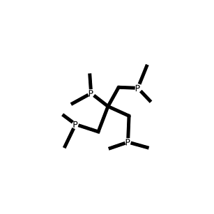 CP(C)CC(CP(C)C)(CP(C)C)P(C)C